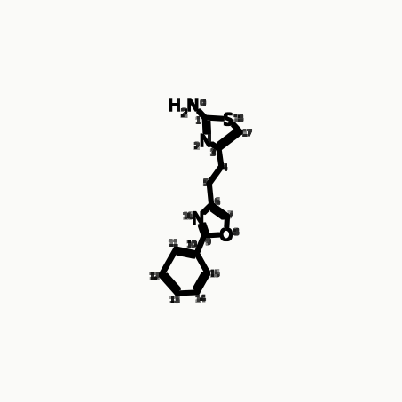 Nc1nc(CCc2coc(-c3ccccc3)n2)cs1